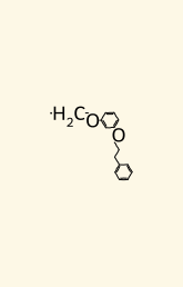 [CH2]COc1cccc(OCCCc2ccccc2)c1